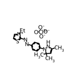 CC[n+]1ccsc1N=Nc1ccc(N2NC(C)=CC2(C)C)cc1.[O-][Cl+3]([O-])([O-])[O-]